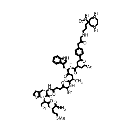 CCN1CCN(CC)CC(CCCNCC(=O)Cc2ccc(C(=O)CC(CCC(C)=O)C(=O)N[C@@H](Cc3c[nH]c4ccccc34)C(=O)C[C@@H](C)C(=O)N[C@H](C(=O)CCC(=O)N[C@@H](CC3=CN=CC3)C(=O)NC(CC(C)C)C(=O)C[C@@H](CCSC)C(N)=O)C(C)C)cc2)(N(CC)CC)C1